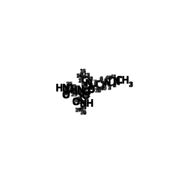 CN1CCN(c2ccc(C(=O)N3CCC4(CC4)C[C@H]3C(=O)NC(C[C@@H]3CCNC3=O)C(=O)C(=O)NC3CC3)cc2)CC1